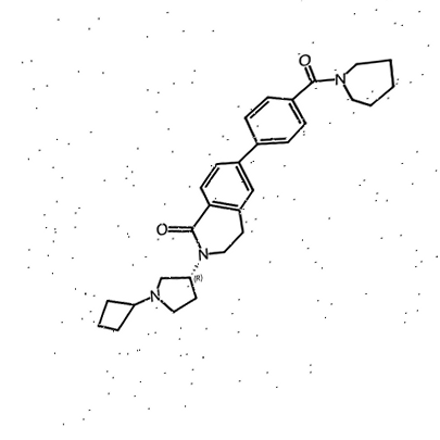 O=C(c1ccc(-c2ccc3c(c2)CCN([C@@H]2CCN(C4CCC4)C2)C3=O)cc1)N1CCCCC1